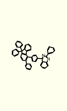 c1ccc(-c2nc(-c3ccc(-c4c(-c5ccccc5)ccc5c4-c4ccccc4C5(c4ccccc4)c4ccccc4)cc3)c3ccccc3n2)cc1